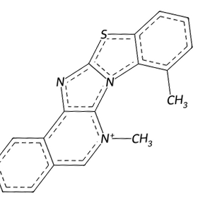 Cc1cccc2sc3nc4c5ccccc5c[n+](C)c4n3c12